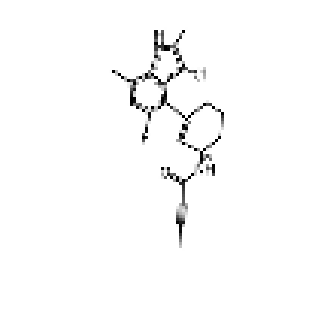 CC#CC(=O)N[C@H]1C=C(c2c(F)cc(C)c3[nH]c(C)c(Cl)c23)CCC1